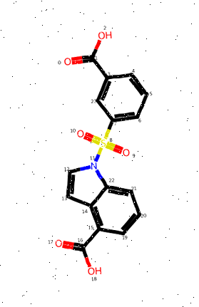 O=C(O)c1cccc(S(=O)(=O)n2ccc3c(C(=O)O)cccc32)c1